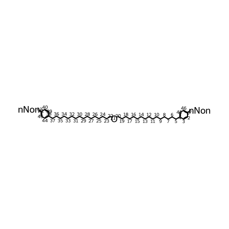 CCCCCCCCCc1ccc(CCCCCCCCCCCCCCCCOCCCCCCCCCCCCCCCCc2ccc(CCCCCCCCC)cc2)cc1